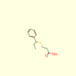 CCC(SCCC(=O)O)c1ccccc1